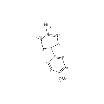 COc1ccc(C2CN=C(N)N(C)C2)cc1